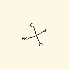 FC(S)(Cl)Cl